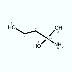 N[Si](O)(O)CCO